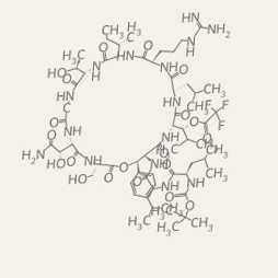 CC[C@H](C)[C@@H]1NC(=O)[C@@H](CCCNC(=N)N)NC(=O)[C@H](CC(C)C)NC(=O)[C@H]([C@H](OC(=O)C(F)(F)F)C(C)C)NC(=O)[C@@H](NC(=O)[C@H](CC(C)C)NC(=O)[C@@H](CC(C)C)NC(=O)OC(C)(C)C)[C@@H](c2ccccc2)OC(=O)[C@H](CO)NC(=O)[C@H]([C@H](O)C(N)=O)NC(=O)CNC(=O)[C@H]([C@H](C)O)NC1=O